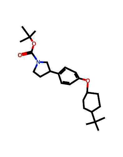 CC(C)(C)OC(=O)N1CCC(c2ccc(OC3CCC(C(C)(C)C)CC3)cc2)C1